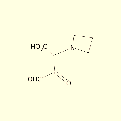 O=CC(=O)C(C(=O)O)N1CCC1